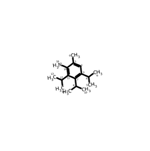 Cc1cc(C(C)C)c(C(C)C)c(C(C)C)c1N